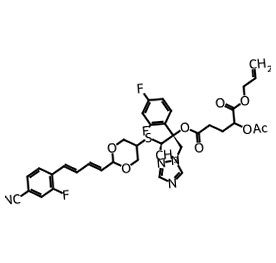 C=CCOC(=O)C(CCC(=O)O[C@@](Cn1cncn1)(c1ccc(F)cc1F)[C@@H](C)SC1COC(C=CC=Cc2ccc(C#N)cc2F)OC1)OC(C)=O